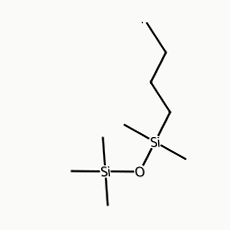 [CH2]CCC[Si](C)(C)O[Si](C)(C)C